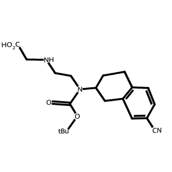 CC(C)(C)OC(=O)N(CCNCC(=O)O)C1CCc2ccc(C#N)cc2C1